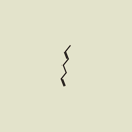 C=CC[CH]C=CC